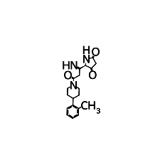 Cc1ccccc1C1CCN(C(=O)CC(=N)[C@H]2NC(=O)CC2=O)CC1